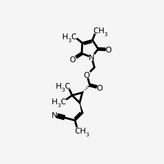 CC1=C(C)C(=O)N(COC(=O)[C@@H]2[C@@H](/C=C(/C)C#N)C2(C)C)C1=O